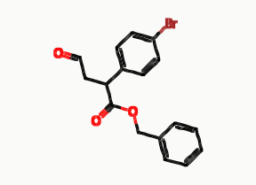 O=CCC(C(=O)OCc1ccccc1)c1ccc(Br)cc1